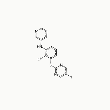 Clc1c(Nc2cccnc2)cccc1Sc1ncc(I)cn1